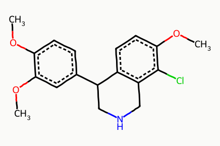 COc1ccc(C2CNCc3c2ccc(OC)c3Cl)cc1OC